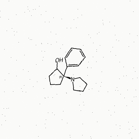 OC1CCC[C@]1(c1ccccc1)N1CCCC1